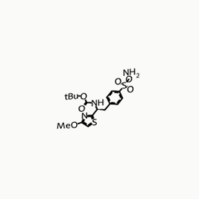 COc1csc([C@H](Cc2ccc(S(=O)(=O)ON)cc2)NC(=O)OC(C)(C)C)n1